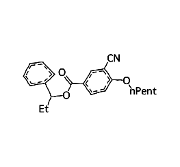 CCCCCOc1ccc(C(=O)OC(CC)c2ccccc2)cc1C#N